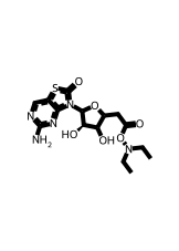 CCN(CC)OC(=O)CC1OC(n2c(=O)sc3cnc(N)nc32)[C@H](O)C1O